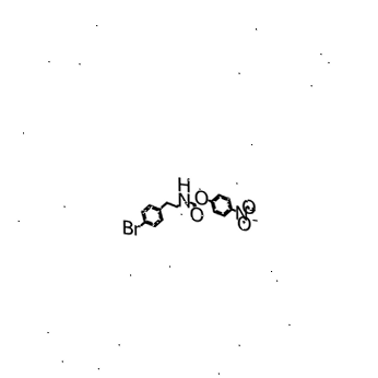 O=C(NCCc1ccc(Br)cc1)Oc1ccc([N+](=O)[O-])cc1